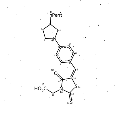 CCCCCC1CCN(c2ccc(C=C3SC(=S)N(CC(=O)O)C3=O)cc2)C1